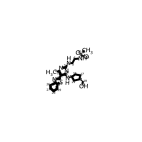 Cc1nc(NCCNS(C)(=O)=O)nc(N[C@H]2CC[C@@H](CO)C2)c1-c1nc2ccccc2s1